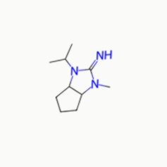 CC(C)N1C(=N)N(C)C2CCCC21